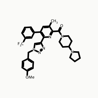 COc1ccc(Cn2cc(-c3nc(C(=O)N4CCC(N5CCCC5)CC4)c(C)cc3-c3cccc(C(F)(F)F)c3)nn2)cc1